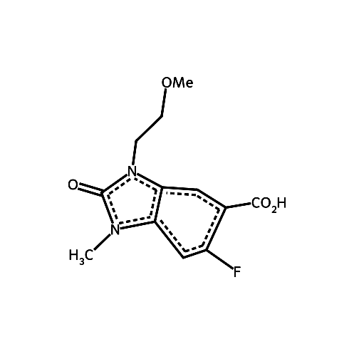 COCCn1c(=O)n(C)c2cc(F)c(C(=O)O)cc21